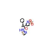 CS(=O)(=O)c1ccc(C2(C(=O)Nc3nccs3)CC2C2=CCCCC2)cn1